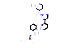 O[C@H](CNc1cccc(Oc2ncccc2-c2ccnc(NC3CCCNC3)n2)c1F)C(F)(F)F